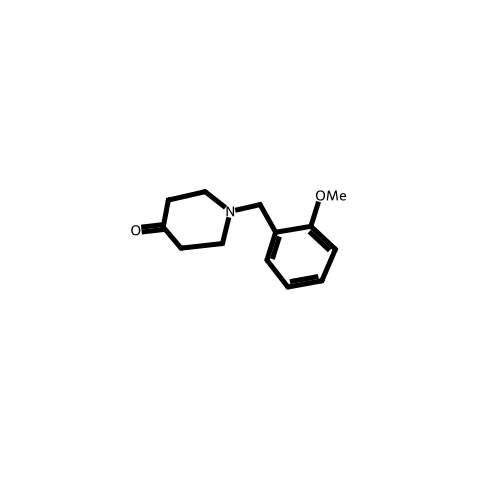 COc1ccccc1CN1CCC(=O)CC1